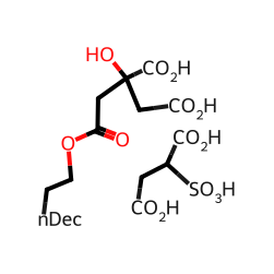 CCCCCCCCCCCCOC(=O)CC(O)(CC(=O)O)C(=O)O.O=C(O)CC(C(=O)O)S(=O)(=O)O